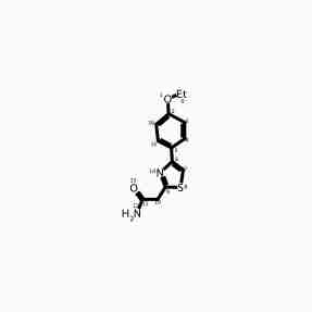 CCOc1ccc(-c2csc(CC(N)=O)n2)cc1